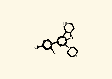 Clc1ccc(-c2cc3c(c(N4CCSCC4)c2)OC2CCNCC32)c(Cl)c1